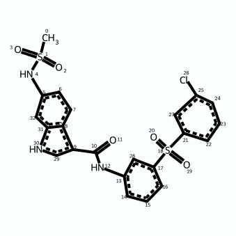 CS(=O)(=O)Nc1ccc2c(C(=O)Nc3cccc(S(=O)(=O)c4cccc(Cl)c4)c3)c[nH]c2c1